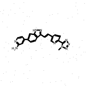 Cn1nnnc1-c1ccc(C=Cc2n[nH]c3cc(-c4ccnc(N)c4)ccc23)cn1